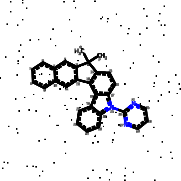 CC1(C)c2cc3ccccc3cc2-c2c1ccc1c2c2ccccc2n1-c1ncccn1